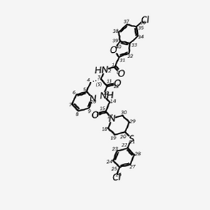 O=C(N[C@@H](Cc1ccccn1)C(=O)NCC(=O)N1CCC(Sc2ccc(Cl)cc2)CC1)c1cc2cc(Cl)ccc2o1